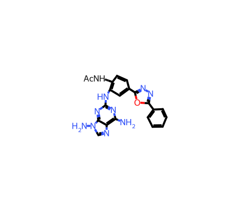 CC(=O)Nc1ccc(-c2nnc(-c3ccccc3)o2)cc1Nc1nc(N)c2ncn(N)c2n1